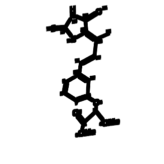 COC(=O)C(OC)Oc1cccc(C=CC(C)=C2SC(=S)NC2=O)c1